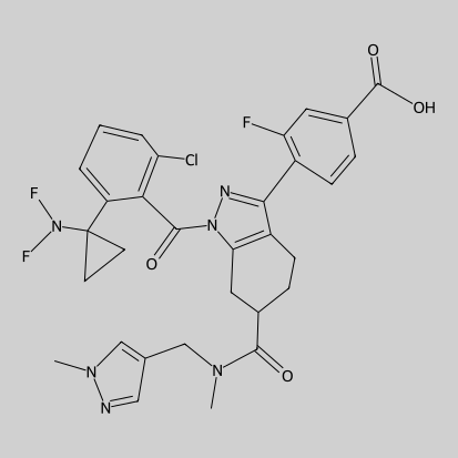 CN(Cc1cnn(C)c1)C(=O)C1CCc2c(-c3ccc(C(=O)O)cc3F)nn(C(=O)c3c(Cl)cccc3C3(N(F)F)CC3)c2C1